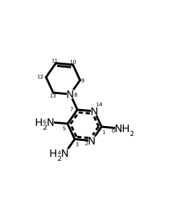 Nc1nc(N)c(N)c(N2CC=CCC2)n1